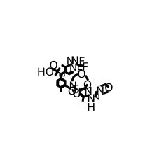 Cc1ccc([C@H](c2ccn3c(C(F)(F)F)nnc3c2C)C(C)(C)C(=O)O)cc1CN1CCCOCCOc2nc(N[C@H](C)CN3CCOCC3)c(C)cc2S1(=O)=O